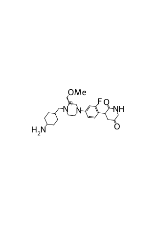 COC[C@H]1CN(c2ccc(C3CC(=O)CNC3=O)c(F)c2)CCN1CC1CCC(N)CC1